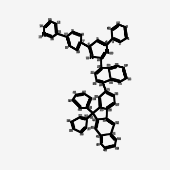 c1ccc(-c2cc(-c3ccc(-c4cccnc4)cc3)nc(-c3ccc(-c4ccc5c(c4)C(c4ccccc4)(c4ccccc4)c4cc6ccccc6cc4-5)c4ccccc34)n2)cc1